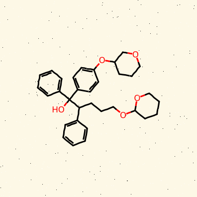 OC(c1ccccc1)(c1ccc(OC2CCCOC2)cc1)C(CCCOC1CCCCO1)c1ccccc1